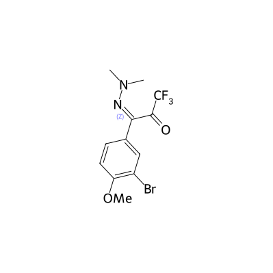 COc1ccc(/C(=N/N(C)C)C(=O)C(F)(F)F)cc1Br